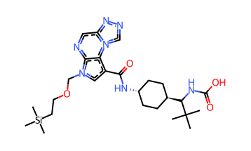 CC(C)(C)C(NC(=O)O)[C@H]1CC[C@H](NC(=O)c2cn(COCC[Si](C)(C)C)c3ncc4nncn4c23)CC1